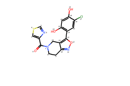 O=C(c1cscn1)N1CCc2noc(-c3cc(Cl)c(O)cc3O)c2C1